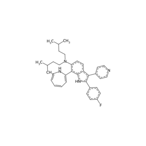 CC(C)CCN(CCC(C)C)c1ccc2c(-c3ccncc3)c(-c3ccc(F)cc3)[nH]c2c1C1=CC=CC=CN1